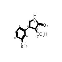 O=C(O)C1C(=O)NC[C@@H]1c1cccc(C(F)(F)F)c1